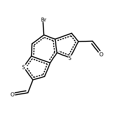 O=Cc1cc2c(cc(Br)c3cc(C=O)sc32)s1